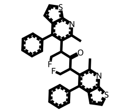 Cc1nc2sccc2c(-c2ccccc2)c1C(CF)C(=O)C(CF)c1c(C)nc2sccc2c1-c1ccccc1